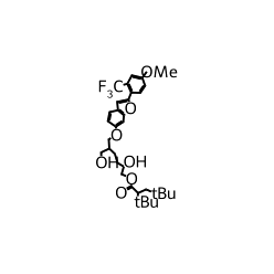 COc1ccc(-c2cc3ccc(OCC(CO)CCC(O)COC(=O)C(CC(C)(C)C)C(C)(C)C)cc3o2)c(C(F)(F)F)c1